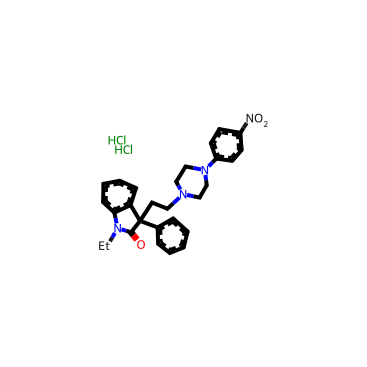 CCN1C(=O)C(CCN2CCN(c3ccc([N+](=O)[O-])cc3)CC2)(c2ccccc2)c2ccccc21.Cl.Cl